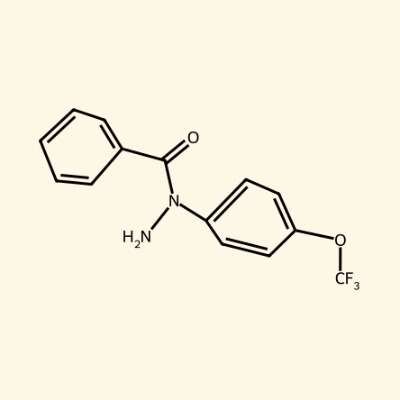 NN(C(=O)c1ccccc1)c1ccc(OC(F)(F)F)cc1